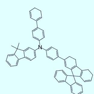 CC1(C)c2ccccc2-c2ccc(N(c3ccc(C4=CCCC=C4)cc3)c3ccc(C4=CC5=C(CC4)C4=C(C=CCC4)C54c5ccccc5-c5ccccc54)cc3)cc21